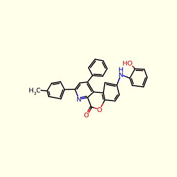 Cc1ccc(-c2cc(-c3ccccc3)c3c(n2)c(=O)oc2ccc(Nc4ccccc4O)cc23)cc1